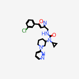 O=C(NCc1cc(-c2cccc(Cl)c2)on1)N(C1CC1)[C@@H]1CCCN(c2cccnn2)C1